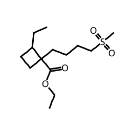 CCOC(=O)C1(CCCCS(C)(=O)=O)CCC1CC